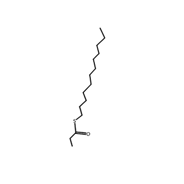 CCCCCCCCCCCCSC(=O)CC